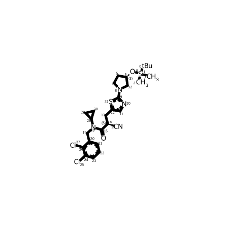 CC(C)(C)[Si](C)(C)O[C@H]1CCN(c2ncc(C[C@@H](C#N)C(=O)N(Cc3cccc(Cl)c3Cl)C3CC3)s2)C1